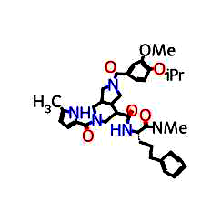 CNC(=O)[C@H](CCCc1ccccc1)NC(=O)C1CN(C(=O)c2ccc(C)[nH]2)CC2CN(C(=O)c3ccc(OC(C)C)c(OC)c3)CC21